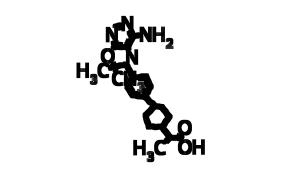 CC(C(=O)O)C1CCC(c2ccc(C3=Nc4c(N)ncnc4OC3(C)C)cc2)CC1